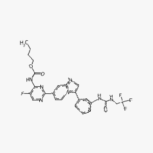 CCCCOC(=O)Nc1nc(-c2ccn3c(-c4cccc(NC(=O)NCC(F)(F)F)c4)cnc3c2)ncc1F